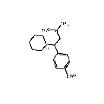 COc1ccc(C(CN(C)C)[SiH]2CCCCC2)cc1